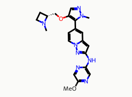 COc1cnc(Nc2cc3cc(-c4c(OC[C@H]5CCN5C)cnn4C)ccn3n2)cn1